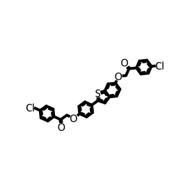 O=C(COc1ccc(-c2cc3ccc(OCC(=O)c4ccc(Cl)cc4)cc3s2)cc1)c1ccc(Cl)cc1